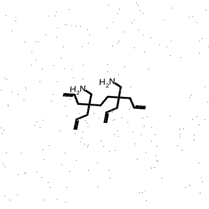 C=CCC(CN)(CC=C)CCC(CN)(CC=C)CC=C